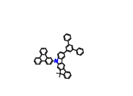 CC1(C)c2ccccc2-c2cc3c4cc(-c5cc(-c6ccccc6)cc(-c6ccccc6)c5)ccc4n(-c4ccc5c6ccccc6c6ccccc6c5c4)c3cc21